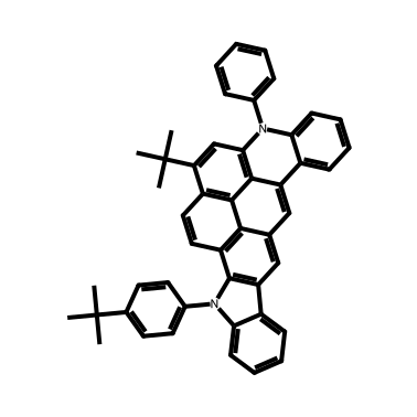 CC(C)(C)c1ccc(-n2c3ccccc3c3cc4cc5c6c(cc(C(C)(C)C)c7ccc(c4c76)c32)N(c2ccccc2)c2ccccc2-5)cc1